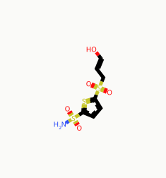 NS(=O)(=O)c1ccc(S(=O)(=O)CC=CO)s1